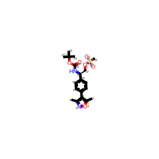 Cc1noc(C)c1-c1ccc([C@H](COS(C)(=O)=O)NC(=O)OC(C)(C)C)cc1